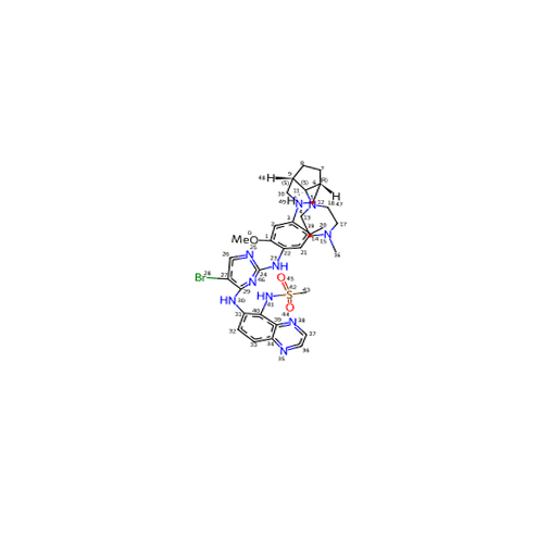 COc1cc(N2C[C@H]3CC[C@@H](C2)[C@@H]3N2CCN(C)CC2)c(C)cc1Nc1ncc(Br)c(Nc2ccc3nccnc3c2NS(C)(=O)=O)n1